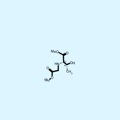 COC(=O)[C@@H](NCC(=O)OC(C)(C)C)[C@@H](C)O